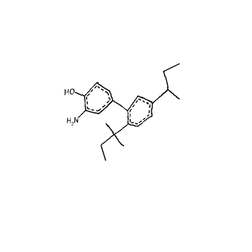 CCC(C)c1ccc(C(C)(C)CC)c(-c2ccc(O)c(N)c2)c1